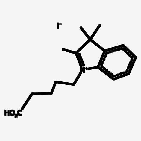 CC1=[N+](CCCCC(=O)O)c2ccccc2C1(C)C.[I-]